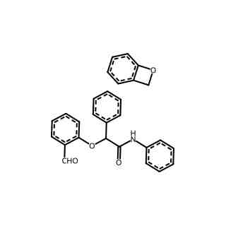 O=Cc1ccccc1OC(C(=O)Nc1ccccc1)c1ccccc1.c1ccc2c(c1)CO2